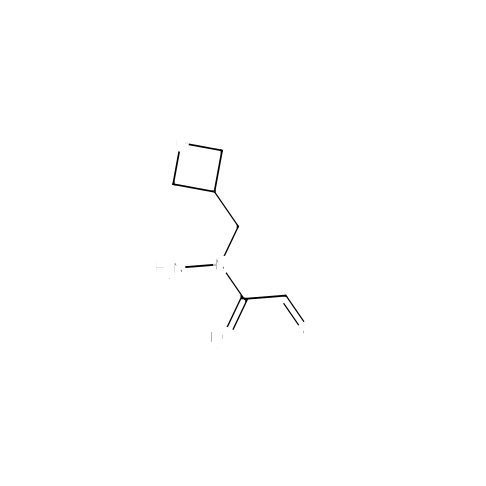 C=CC(=C)N(N)CC1COC1